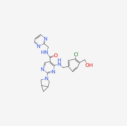 O=C(NCc1ncccn1)c1cnc(N2CC3CC3C2)nc1NCc1ccc(CO)c(Cl)c1